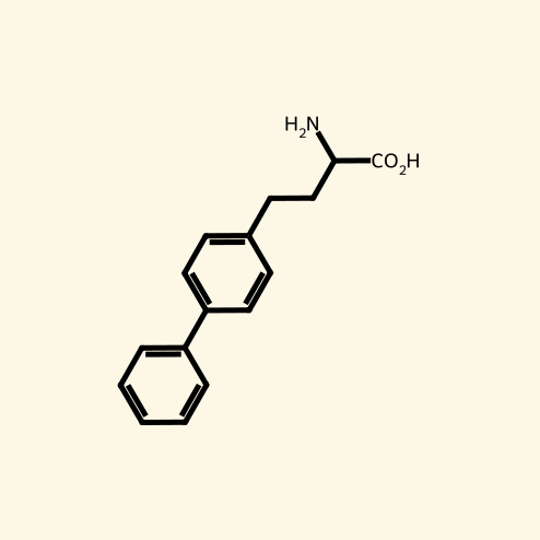 NC(CCc1ccc(-c2ccccc2)cc1)C(=O)O